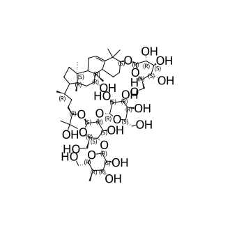 C[C@@H]1[C@@H](O)[C@H](O)[C@@H](O[C@H]2[C@H](O)[C@@H](O[C@H]3O[C@@H](CO)[C@H](O)[C@@H](O)[C@@H]3O)[C@H](O[C@H](CC[C@@H](C)C3CC[C@@]4(C)C5CC=C6C(CC[C@H](O[C@@H]7O[C@H](CO)[C@@H](O)[C@H](O)[C@H]7O)C6(C)C)[C@]5(C)[C@H](O)C[C@]34C)C(C)(C)O)O[C@@H]2CO)O[C@H]1CO